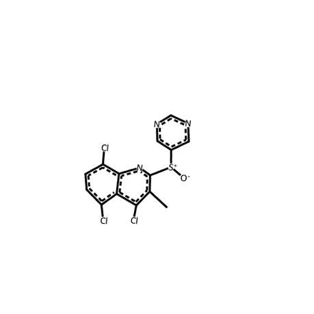 Cc1c([S+]([O-])c2cncnc2)nc2c(Cl)ccc(Cl)c2c1Cl